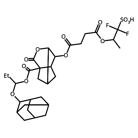 CCC(OC(=O)C12CC3CC1C(OC(=O)CCC(=O)OC(C)C(F)(F)S(=O)(=O)O)C3OC2=O)OC1C2CC3CC(C2)CC1C3